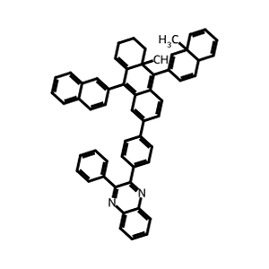 CC12CCCC=C1C(c1ccc3ccccc3c1)=c1cc(-c3ccc(-c4nc5ccccc5nc4-c4ccccc4)cc3)ccc1=C2C1=CC2(C)C=CC=CC2C=C1